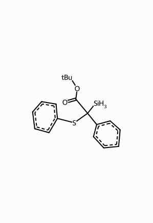 CC(C)(C)OC(=O)C([SiH3])(Sc1ccccc1)c1ccccc1